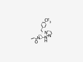 C=CC(=O)N1C[C@H](Nc2ncccn2)[C@@H](/C=C/c2ccc(C(F)(F)F)cc2)C1